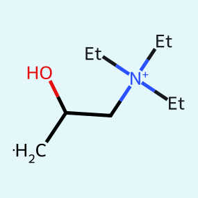 [CH2]C(O)C[N+](CC)(CC)CC